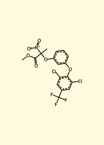 COC(=O)C(C)(Oc1cccc(Oc2c(Cl)cc(C(F)(F)F)cc2Cl)c1)[N+](=O)[O-]